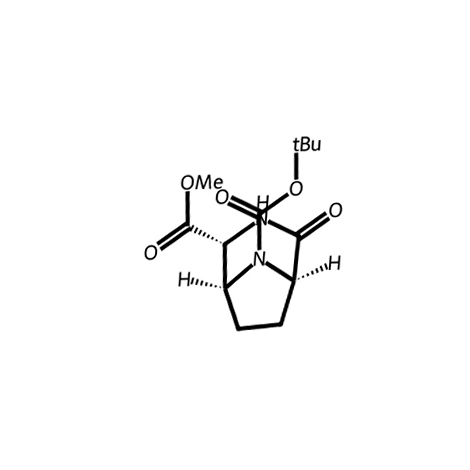 COC(=O)[C@@H]1NC(=O)[C@H]2CC[C@@H]1N2C(=O)OC(C)(C)C